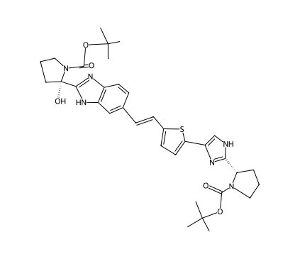 CC(C)(C)OC(=O)N1CCC[C@H]1c1nc(-c2ccc(/C=C/c3ccc4nc([C@@]5(O)CCCN5C(=O)OC(C)(C)C)[nH]c4c3)s2)c[nH]1